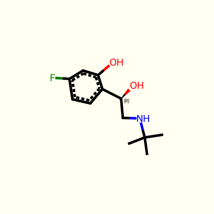 CC(C)(C)NC[C@H](O)c1ccc(F)cc1O